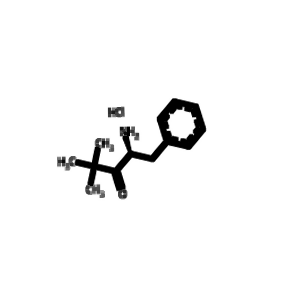 CC(C)(C)C(=O)[C@@H](N)Cc1ccccc1.Cl